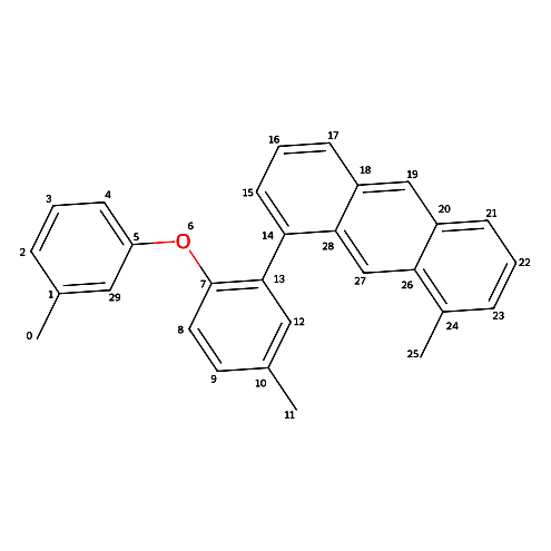 Cc1cccc(Oc2ccc(C)cc2-c2cccc3cc4cccc(C)c4cc23)c1